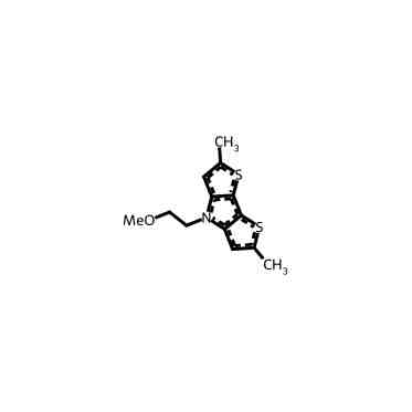 COCCn1c2cc(C)sc2c2sc(C)cc21